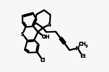 CCN(C)CC#CCCC1(C2(O)c3ccccc3Sc3ccc(Cl)cc32)SCCCS1